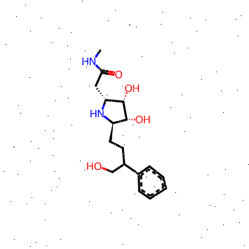 CNC(=O)C[C@H]1N[C@H](CCC(CO)c2ccccc2)[C@@H](O)[C@H]1O